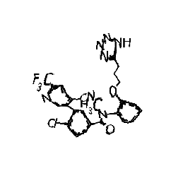 CN(C(=O)c1ccc(Cl)c(-c2cnc(C(F)(F)F)cc2C#N)c1)c1ccccc1OCCCc1nnn[nH]1